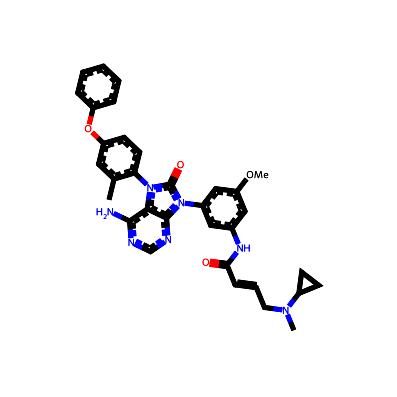 COc1cc(NC(=O)/C=C/CN(C)C2CC2)cc(-n2c(=O)n(-c3ccc(Oc4ccccc4)cc3C)c3c(N)ncnc32)c1